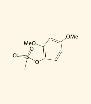 COc1ccc(OS(C)(=O)=O)c(OC)c1